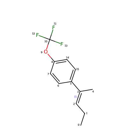 CC/C=C(\C)c1ccc(OC(F)(F)F)cc1